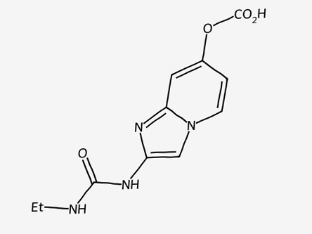 CCNC(=O)Nc1cn2ccc(OC(=O)O)cc2n1